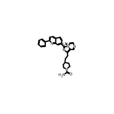 NC(=O)N1CCC(CCC2=C3C=NC=C[N+]3(N)C(c3ccc4ccc(-c5ccccc5)nc4c3)=N2)CC1